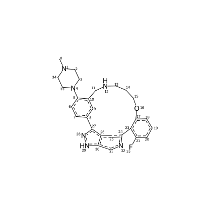 CN1CCN(c2ccc3cc2CNCCCOc2cccc(F)c2-c2cc4c-3n[nH]c4cn2)CC1